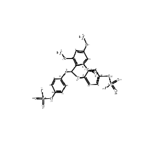 COc1cc(OC)c(C(Oc2ccc(OS(=O)(=O)F)cc2)Oc2ccc(OS(=O)(=O)F)cc2)c(OC)c1